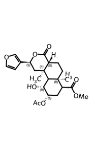 COC(=O)C1C[C@H](OC(C)=O)[C@H](O)C2[C@@]1(C)CC[C@H]1C(=O)O[C@H](c3ccoc3)C[C@]21C